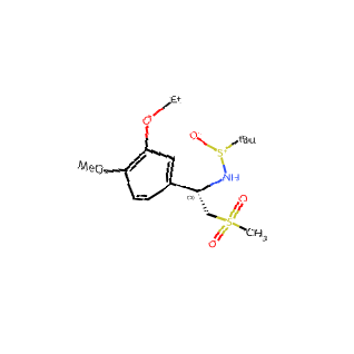 CCOc1cc([C@@H](CS(C)(=O)=O)N[S+]([O-])C(C)(C)C)ccc1OC